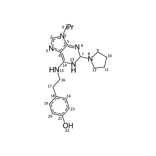 CC(C)n1cnc2c1=NC(N1CCCC1)NC=2NCCc1ccc(O)cc1